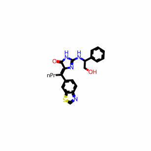 CCC/C(=C1/N=C(NC(CO)c2ccccc2)NC1=O)c1ccc2ncsc2c1